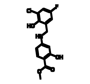 COC(=O)c1ccc(NCc2cc(F)cc(Cl)c2O)cc1O